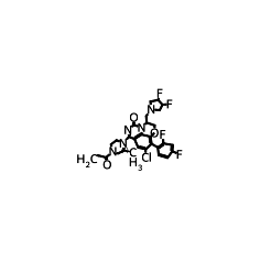 C=CC(=O)N1CCN(c2nc(=O)n3c4c(c(-c5ccc(F)cc5F)c(Cl)cc24)OCC3CN2CC(F)C(F)C2)[C@@H](C)C1